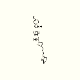 Fc1ccc2[nH]c(-c3nc(CNc4ccc(CCCCn5ccnn5)cc4)co3)cc2c1